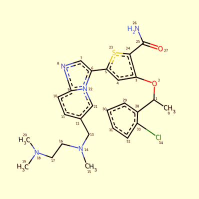 CC(Oc1cc(-c2cnc3ccc(CN(C)CCN(C)C)cn23)sc1C(N)=O)c1ccccc1Cl